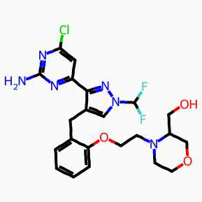 Nc1nc(Cl)cc(-c2nn(C(F)F)cc2Cc2ccccc2OCCN2CCOCC2CO)n1